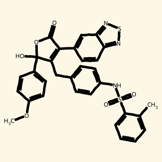 COc1ccc(C2(O)OC(=O)C(c3ccc4nsnc4c3)=C2Cc2ccc(NS(=O)(=O)c3ccccc3C)cc2)cc1